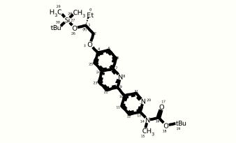 CC[C@H](COc1ccc2nc(-c3ccc(N(C)C(=O)OC(C)(C)C)nc3)ccc2c1)O[Si](C)(C)C(C)(C)C